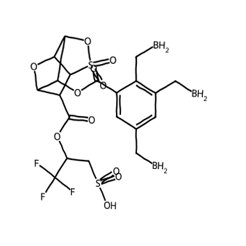 BCc1cc(CB)c(CB)c(C(=O)OC2C3OS(=O)(=O)C4C3OC2C4C(=O)OC(CS(=O)(=O)O)C(F)(F)F)c1